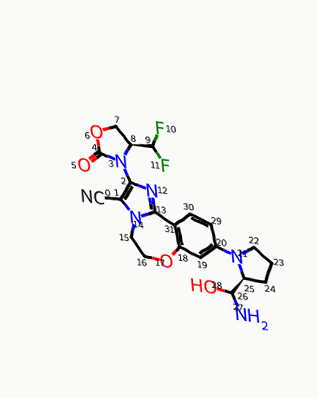 N#Cc1c(N2C(=O)OC[C@H]2C(F)F)nc2n1CCOc1cc(N3CCC[C@H]3C(N)O)ccc1-2